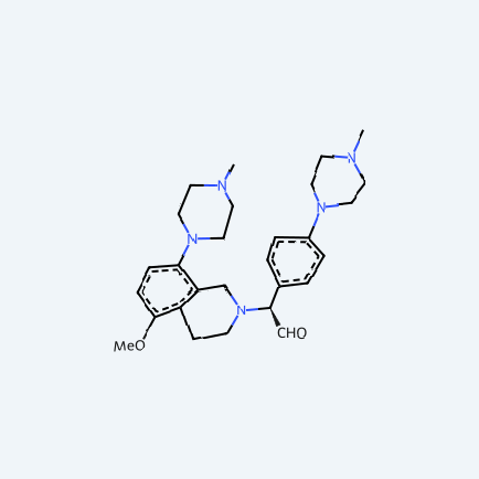 COc1ccc(N2CCN(C)CC2)c2c1CCN([C@H](C=O)c1ccc(N3CCN(C)CC3)cc1)C2